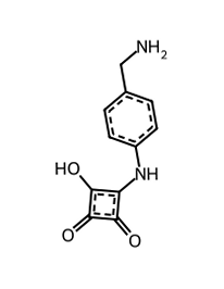 NCc1ccc(Nc2c(O)c(=O)c2=O)cc1